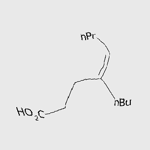 CCCC=C(CCCC)CCC(=O)O